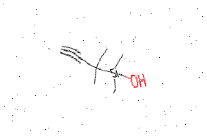 C#CC(C)(C)[Si](C)(C)O